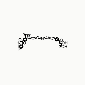 CNC(=O)c1c(-c2ccc(F)cc2)oc2cc(N(CCOCCOCCOCCOCCOCc3ccc(C(=O)C=C(O)C(=O)O)cc3)S(C)(=O)=O)c(C3CC3)cc12